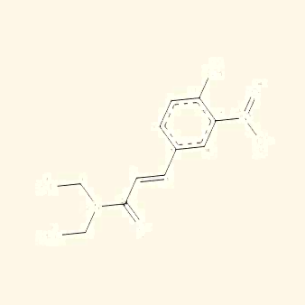 CCN(CC)C(=O)C=Cc1ccc(O)c([N+](=O)[O-])c1